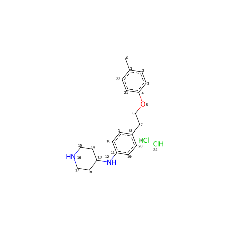 Cc1ccc(OCCc2ccc(NC3CCNCC3)cc2)cc1.Cl.Cl